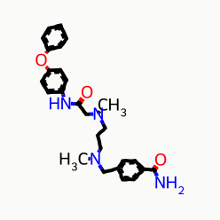 CN(CCCN(C)Cc1ccc(C(N)=O)cc1)CC(=O)Nc1ccc(Oc2ccccc2)cc1